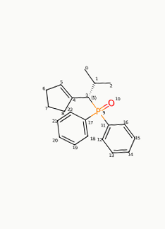 CC(C)[C@@H](C1=CCCC1)P(=O)(c1ccccc1)c1ccccc1